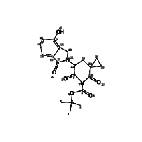 CC(C)(C)OC(=O)N1C(=O)C(N2Cc3c(O)cccc3C2=O)CC2(CC2)C1=O